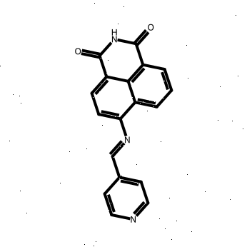 O=C1NC(=O)c2ccc(N=Cc3ccncc3)c3cccc1c23